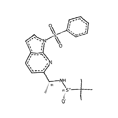 C[C@@H](N[S@@+]([O-])C(C)(C)C)c1ccc2ccn(S(=O)(=O)c3ccccc3)c2n1